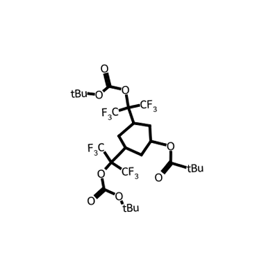 CC(C)(C)OC(=O)OC(C1CC(OC(=O)C(C)(C)C)CC(C(OC(=O)OC(C)(C)C)(C(F)(F)F)C(F)(F)F)C1)(C(F)(F)F)C(F)(F)F